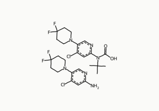 CC(C)(C)N(C(=O)O)c1cc(Cl)c(N2CCC(F)(F)CC2)cn1.Nc1cc(Cl)c(N2CCC(F)(F)CC2)cn1